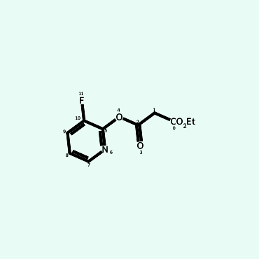 CCOC(=O)CC(=O)Oc1ncccc1F